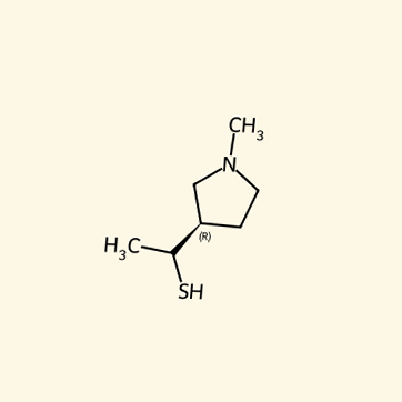 CC(S)[C@@H]1CCN(C)C1